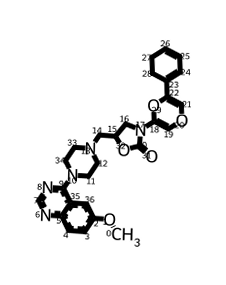 COc1ccc2ncnc(N3CCN(CC4CN(C5=COC=C(C6=CC=CCC6)O5)C(=O)O4)CC3)c2c1